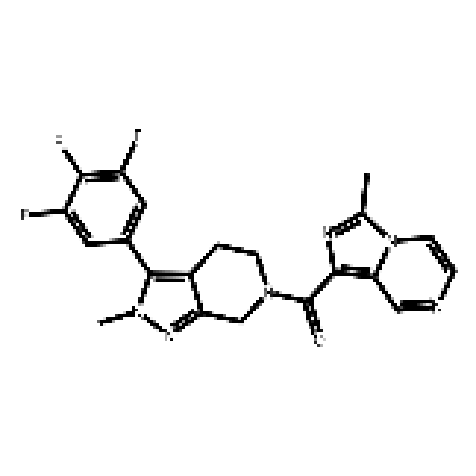 Cc1nc(C(=O)N2CCc3c(nn(C)c3-c3cc(F)c(F)c(F)c3)C2)c2cnccn12